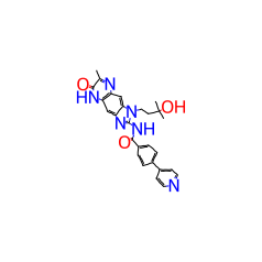 Cc1nc2cc3c(cc2[nH]c1=O)nc(NC(=O)c1ccc(-c2ccncc2)cc1)n3CCC(C)(C)O